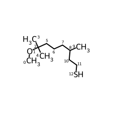 COC(C)(C)CCCC(C)CCS